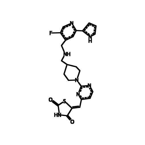 O=C1NC(=O)C(=Cc2ccnc(N3CCC(CNCc4cc(-c5ccc[nH]5)ncc4F)CC3)n2)S1